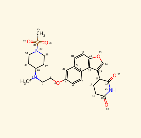 CN(CCOc1ccc2c(ccc3occ([C@@H]4CCC(=O)NC4=O)c32)c1)C1CCN(S(C)(=O)=O)CC1